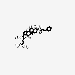 CC(C)=CCCC(C)C1CCC2(C)C3CCC4C(C)(C)C(OC(=O)/C=C/c5ccccc5)CCC45CC35CCC12C